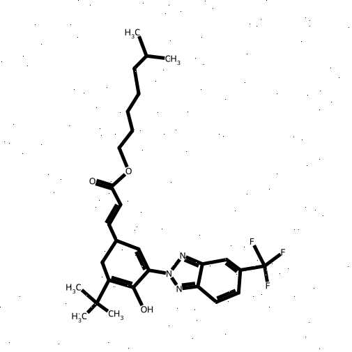 CC(C)CCCCCOC(=O)C=CC1C=C(n2nc3ccc(C(F)(F)F)cc3n2)C(O)=C(C(C)(C)C)C1